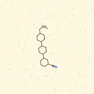 CCC1CCC(C2CCC(C3CCCC(C#N)C3)CC2)CC1